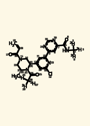 [2H]C([2H])([2H])NC(=O)c1cc(-c2cc([C@@H]3CN(C(=O)C=C)C[C@@H](C)N3C(=O)C([2H])([2H])[2H])cc(Cl)n2)ncn1